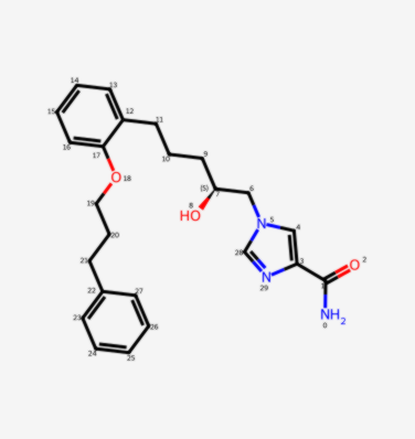 NC(=O)c1cn(C[C@@H](O)CCCc2ccccc2OCCCc2ccccc2)cn1